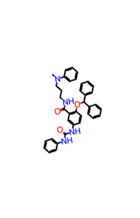 CN(CCCNC(=O)c1cc(NC(=O)Nc2ccccc2)ccc1OC(c1ccccc1)c1ccccc1)c1ccccc1